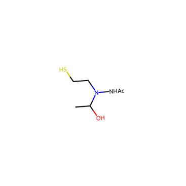 CC(=O)NN(CCS)C(C)O